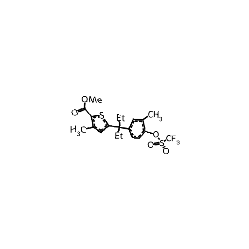 CCC(CC)(c1ccc(OS(=O)(=O)C(F)(F)F)c(C)c1)c1cc(C)c(C(=O)OC)s1